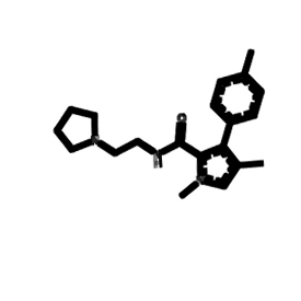 Cc1ccc(-c2c(C)cn(C)c2C(=O)NCCN2CCCC2)cc1